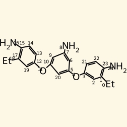 CCc1cc(Oc2cc(N)cc(Oc3ccc(N)c(CC)c3)c2)ccc1N